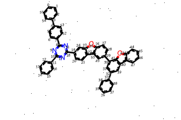 c1ccc(-c2ccc(-c3nc(-c4ccccc4)nc(-c4ccc5c(c4)oc4ccc(-c6cc(-c7ccccc7)cc7c6oc6ccccc67)cc45)n3)cc2)cc1